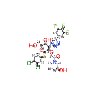 O=C(CO[C@@H]1[C@@H](n2cc(-c3cc(F)c(F)c(F)c3)nn2)[C@@H](O)[C@@H](CO)O[C@@H]1Sc1ccc(Cl)c(Cl)c1)N1CCC[C@@H](O)C1